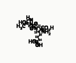 CC(C)(O)CNS(=O)(=O)N1C[C@H](CCCB(O)O)[C@](N)(C(=O)O)C1